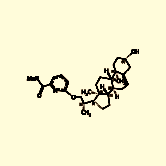 CNC(=O)c1cccc(OC[C@@H](C)[C@H]2CC[C@H]3[C@@H]4CC=C5C[C@@H](O)CC[C@]5(C)[C@H]4CC[C@]23C)n1